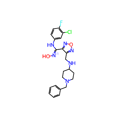 O/N=C(\Nc1ccc(F)c(Cl)c1)c1nonc1CNC1CCN(Cc2ccccc2)CC1